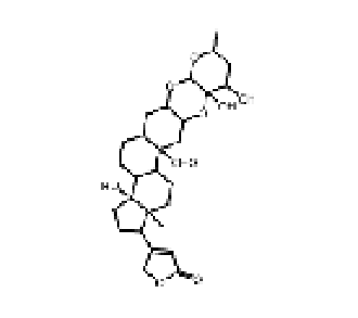 CC1CC(O)C2(O)OC3CC4(C=O)C(CCC5C4CCC4(C)C(C6=CC(=O)OC6)CCC54O)CC3OC2O1